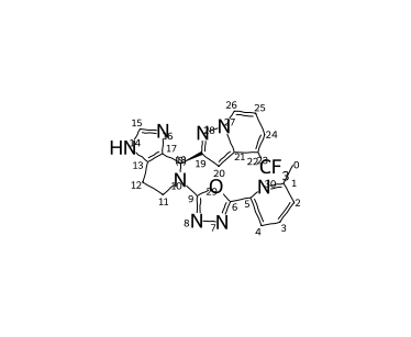 Cc1cccc(-c2nnc(N3CCc4[nH]cnc4[C@H]3c3cc4c(C(F)(F)F)cccn4n3)o2)n1